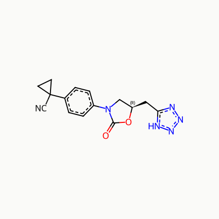 N#CC1(c2ccc(N3C[C@@H](Cc4nnn[nH]4)OC3=O)cc2)CC1